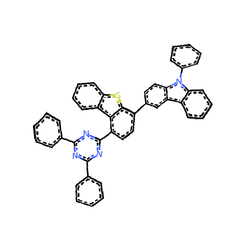 c1ccc(-c2nc(-c3ccccc3)nc(-c3ccc(-c4ccc5c(c4)c4ccccc4n5-c4ccccc4)c4sc5ccccc5c34)n2)cc1